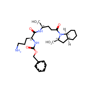 NCCC[C@H](NC(=O)OCc1ccccc1)C(=O)N[C@H](CCC(=O)N1[C@H](C(=O)O)C[C@@H]2CCCC[C@@H]21)C(=O)O